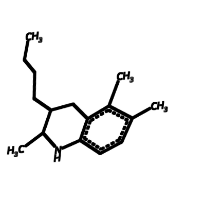 CCCCC1Cc2c(ccc(C)c2C)NC1C